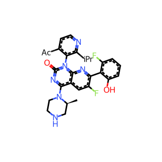 CC(=O)c1ccnc(C(C)C)c1-n1c(=O)nc(N2CCNC[C@@H]2C)c2cc(F)c(-c3c(O)cccc3F)nc21